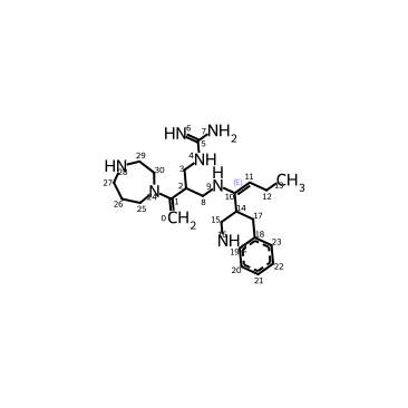 C=C(C(CNC(=N)N)CN/C(=C/CC)C(CN)Cc1ccccc1)N1CCCNCC1